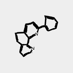 [c]1ccc2ccc3ccc(-c4ccccc4)nc3c2n1